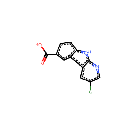 O=C(O)c1ccc2[nH]c3ncc(Cl)cc3c2c1